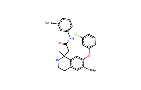 COc1cccc(NC(=O)CC2(C)NCCc3cc(OC)c(Oc4cccc(F)c4)cc32)c1